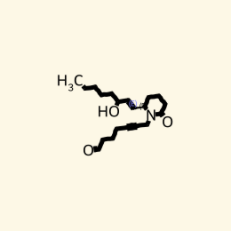 CCCCCC(O)/C=C/[C@H]1CCCC(=O)N1CC#CCCCC=O